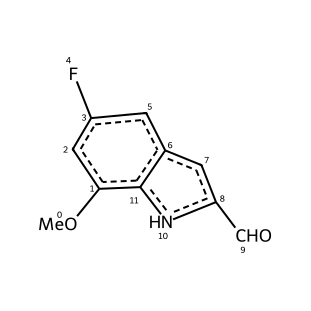 COc1cc(F)cc2cc(C=O)[nH]c12